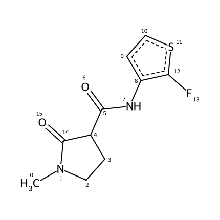 CN1CCC(C(=O)Nc2ccsc2F)C1=O